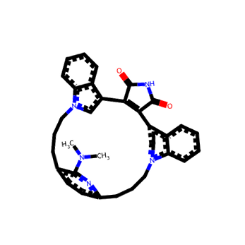 CN(C)c1nc2ccc1CCCn1cc(c3ccccc31)C1=C(C(=O)NC1=O)c1cn(c3ccccc13)CCC2